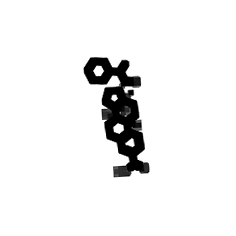 CC(C(=O)[C@H]1CC[C@H]2[C@@H]3CCc4cc(C(=O)O)ccc4[C@H]3CC[C@]12C)C1CCCCC1